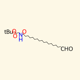 CC(C)(C)OC(=O)CNC(=O)CCCCCCCCCCCCCCCCC=O